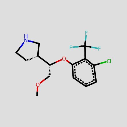 COC[C@@H](Oc1cccc(Cl)c1C(F)(F)F)[C@@H]1CCNC1